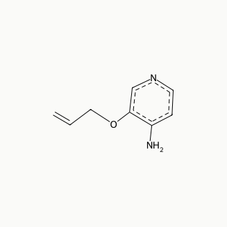 C=CCOc1cnccc1N